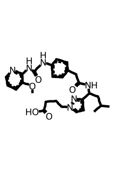 COc1cccnc1NC(=O)Nc1ccc(CC(=O)NC(CC(C)C)c2ccn(CCCC(=O)O)n2)cc1